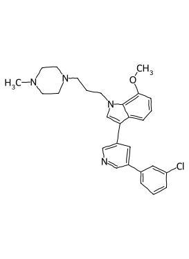 COc1cccc2c(-c3cncc(-c4cccc(Cl)c4)c3)cn(CCCN3CCN(C)CC3)c12